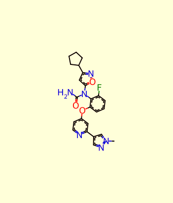 Cn1cc(-c2cc(Oc3cccc(F)c3N(C(N)=O)c3cc(C4CCCC4)no3)ccn2)cn1